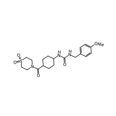 COc1ccc(CNC(=O)NC2CCC(C(=O)N3CCS(=O)(=O)CC3)CC2)cc1